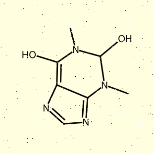 CN1C2=NC=NC2=C(O)N(C)C1O